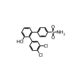 NS(=O)(=O)c1ccc(-c2[c]ccc(O)c2-c2ccc(Cl)c(Cl)c2)cc1